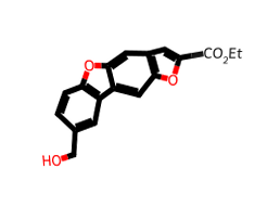 CCOC(=O)c1cc2cc3oc4ccc(CO)cc4c3cc2o1